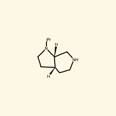 CC(C)N1CC[C@H]2CCNC[C@H]21